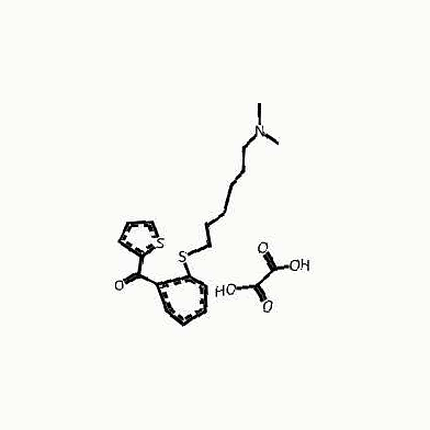 CN(C)CCCCCCSc1ccccc1C(=O)c1cccs1.O=C(O)C(=O)O